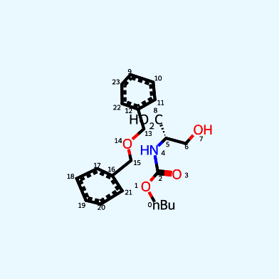 CCCCOC(=O)N[C@@H](CO)C(=O)O.c1ccc(COCc2ccccc2)cc1